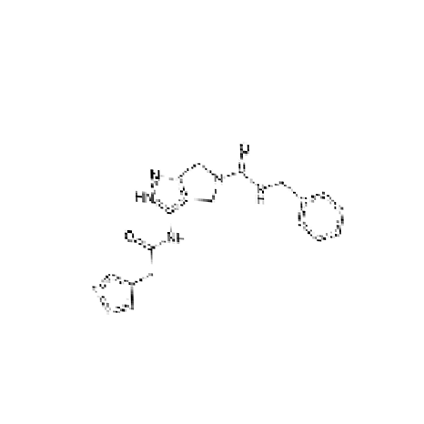 O=C(Cc1ccsc1)Nc1[nH]nc2c1CN(C(=O)NCc1ccccc1)C2